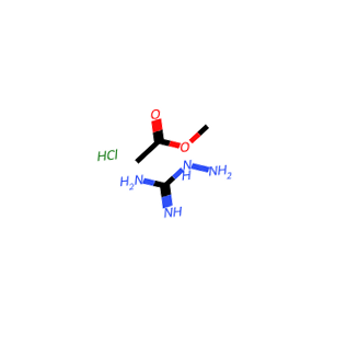 COC(C)=O.Cl.N=C(N)NN